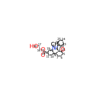 C[n+]1c2c3c(cccc3c3ccc(C(=O)OCCO)cc31)Oc1ccccc1-2